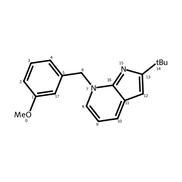 COc1cccc(Cn2cccc3cc(C(C)(C)C)nc2-3)c1